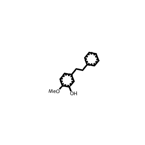 COc1ccc(CCc2ccccc2)cc1O